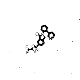 O=C1c2cc(-c3nnc(C(F)F)o3)ccc2CN1c1ccccc1-c1cccnc1